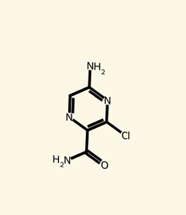 NC(=O)c1ncc(N)nc1Cl